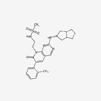 Cc1ccccc1-c1cc2cnc(NN3CC4CCCC4C3)nc2n(CCNS(C)(=O)=O)c1=O